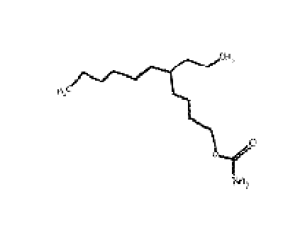 CCCCCCC(CCC)CCCCOC(N)=O